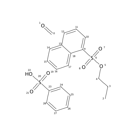 C=O.CCCOS(=O)(=O)c1cccc2ccccc12.O=S(=O)(O)c1ccccc1